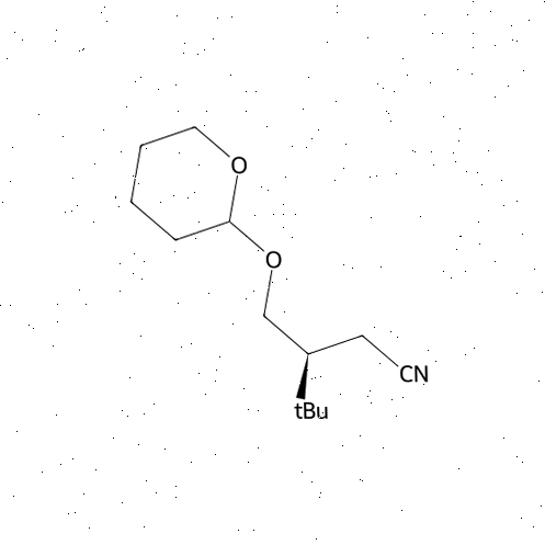 CC(C)(C)[C@H](CC#N)COC1CCCCO1